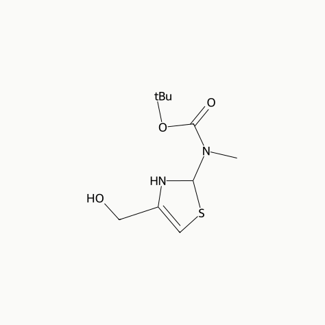 CN(C(=O)OC(C)(C)C)C1NC(CO)=CS1